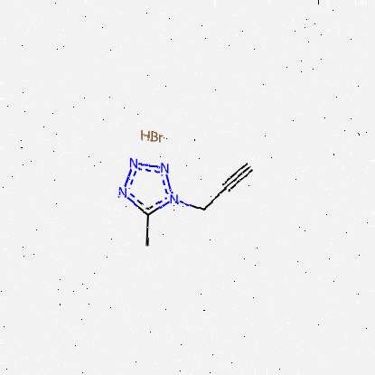 Br.C#CCn1nnnc1C